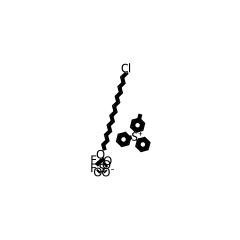 Cc1ccc([S+](c2ccccc2)c2ccccc2)cc1.O=C(OCCCCCCCCCCCCCCCCCCl)C(F)(F)S(=O)(=O)[O-]